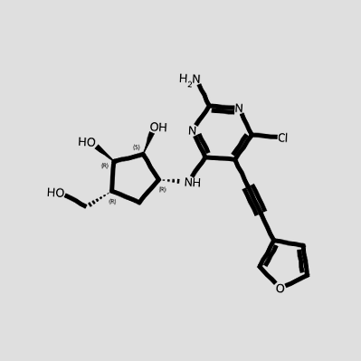 Nc1nc(Cl)c(C#Cc2ccoc2)c(N[C@@H]2C[C@H](CO)[C@@H](O)[C@H]2O)n1